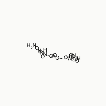 CC1c2ccc(C#CCOCC(=O)COCCCNC(=O)N3CCN(c4ccc(N)cc4)CC3)cc2CN1C1CCC(=O)NC1=O